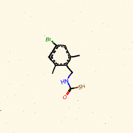 Cc1cc(Br)cc(C)c1CNC(=O)S